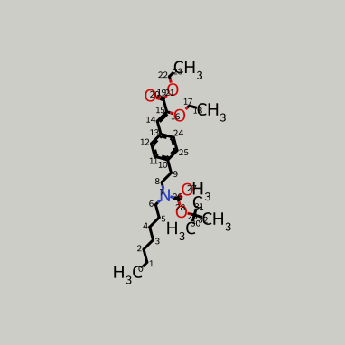 CCCCCCCN(CCc1ccc(C=C(OCC)C(=O)OCC)cc1)C(=O)OC(C)(C)C